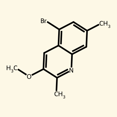 COc1cc2c(Br)cc(C)cc2nc1C